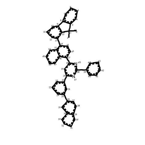 CC1(C)c2ccccc2-c2cccc(-c3ccc(-c4cc(-c5cccc(-c6ccc7ccccc7c6)c5)nc(-c5ccccc5)n4)c4ccccc34)c21